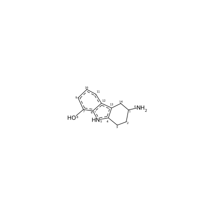 NC1CCc2[nH]c3c(O)cccc3c2C1